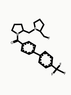 O=C(c1ccc(-c2ccc(C(F)(F)F)cc2)cc1)N1CCCC1CN1CCCC1CF